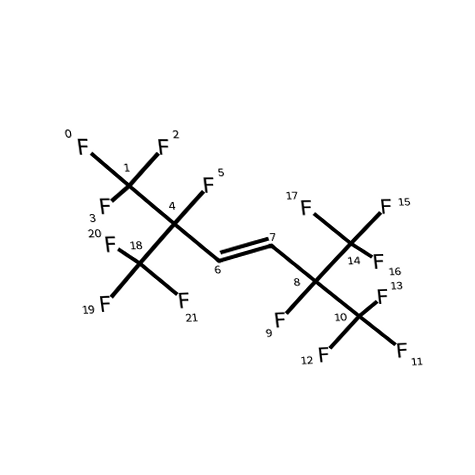 FC(F)(F)C(F)(C=CC(F)(C(F)(F)F)C(F)(F)F)C(F)(F)F